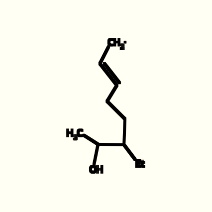 [CH2]C=CCCC(CC)C(C)O